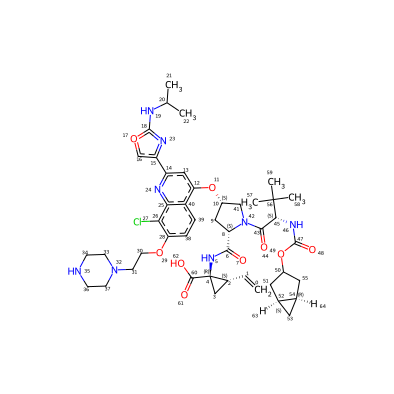 C=C[C@@H]1C[C@]1(NC(=O)[C@@H]1C[C@H](Oc2cc(-c3coc(NC(C)C)n3)nc3c(Cl)c(OCCN4CCNCC4)ccc23)CN1C(=O)[C@@H](NC(=O)OC1C[C@@H]2C[C@@H]2C1)C(C)(C)C)C(=O)O